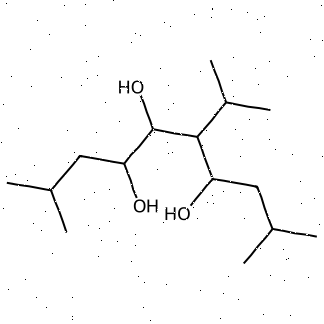 CC(C)CC(O)C(O)C(C(C)C)C(O)CC(C)C